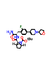 CC(C)(C)OC(=O)N1[C@@H]2CC[C@@H](C2)[C@H]1C(=O)N[C@@H](Cc1ccc(C2=CCN(C3CCOC3)CC2)cc1F)C(N)=O